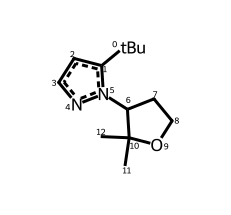 CC(C)(C)c1ccnn1C1CCOC1(C)C